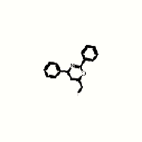 ICC1CC(c2ccccc2)N=C(c2ccccc2)O1